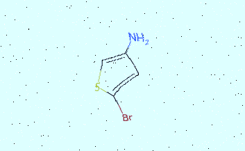 Nc1csc(Br)c1